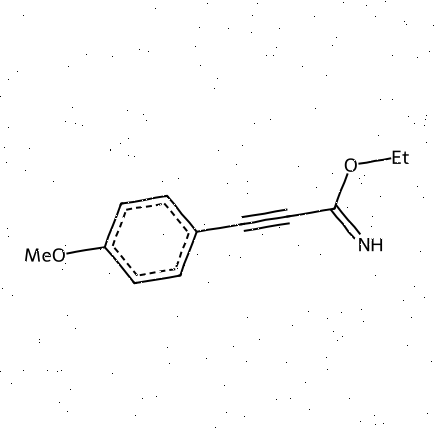 CCOC(=N)C#Cc1ccc(OC)cc1